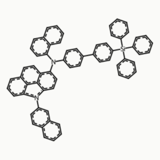 c1ccc([Si](c2ccccc2)(c2ccccc2)c2ccc(-c3ccc(N(c4cccc5ccccc45)c4ccc5c6c4ccc4cccc(c46)n5-c4ccc5ccccc5c4)cc3)cc2)cc1